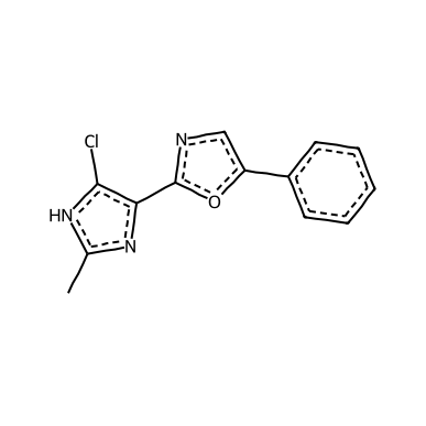 Cc1nc(-c2ncc(-c3ccccc3)o2)c(Cl)[nH]1